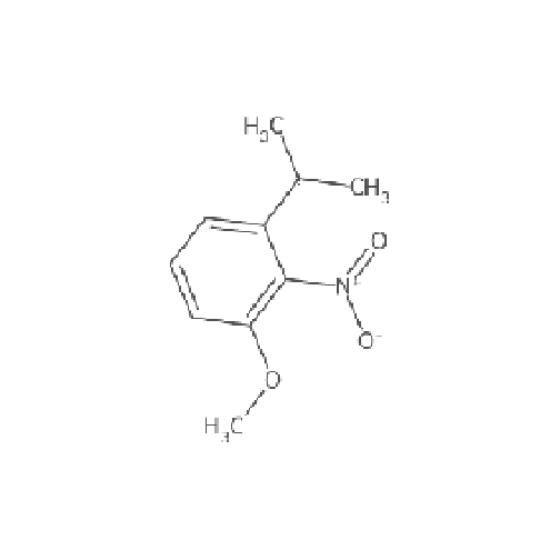 COc1cccc([C](C)C)c1[N+](=O)[O-]